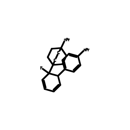 CCCc1ccc(C2C=CC=CC2(F)C23CCC(CCC)(CC2)CC3)cc1